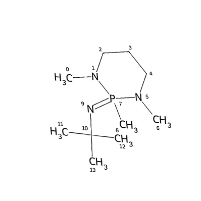 CN1CCCN(C)P1(C)=NC(C)(C)C